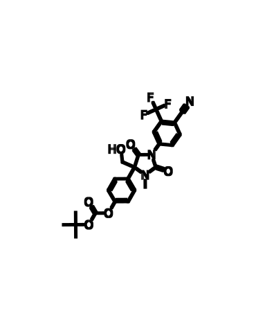 CN1C(=O)N(c2ccc(C#N)c(C(F)(F)F)c2)C(=O)C1(CO)c1ccc(OC(=O)OC(C)(C)C)cc1